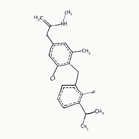 C=C(Cc1cc(C)c(Cc2cccc(C(C)C)c2F)c(Cl)c1)NC